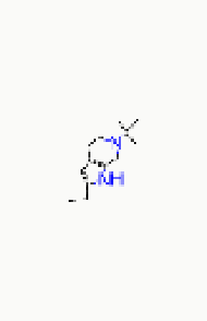 CCc1cc2c([nH]1)CN(C(C)(C)C)CC2